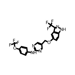 FC(F)(F)Oc1ccc(Nc2ncc(COc3ccc4[nH]nc(C(F)(F)F)c4c3)cn2)cc1